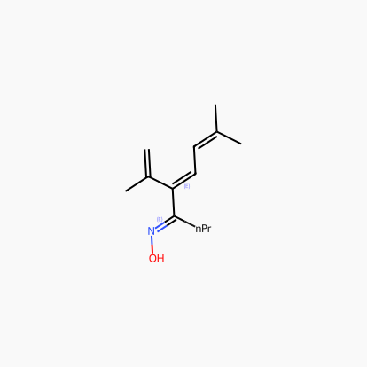 C=C(C)C(=C\C=C(C)C)/C(CCC)=N/O